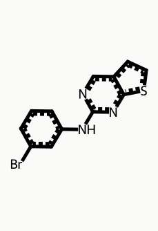 Brc1cccc(Nc2ncc3ccsc3n2)c1